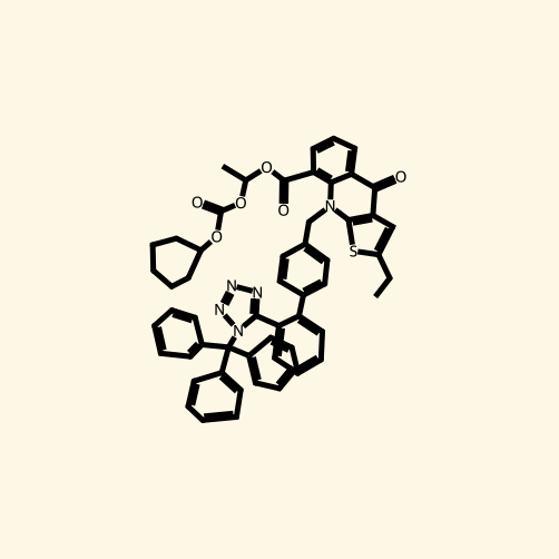 CCc1cc2c(=O)c3cccc(C(=O)OC(C)OC(=O)OC4CCCCC4)c3n(Cc3ccc(-c4ccccc4-c4nnnn4C(c4ccccc4)(c4ccccc4)c4ccccc4)cc3)c2s1